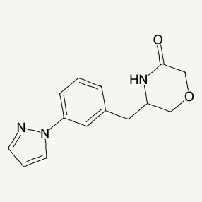 O=C1COCC(Cc2cccc(-n3cccn3)c2)N1